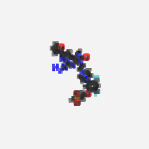 Cn1c(=O)n(CCN2CCN(c3cc(OCCS(C)(=O)=O)c(F)cc3F)CC2)c2nc(N)n3nc(-c4ccco4)cc3c21